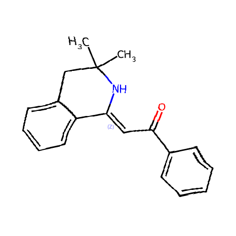 CC1(C)Cc2ccccc2/C(=C/C(=O)c2ccccc2)N1